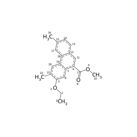 CCOc1cc2c(C(=O)OC)cc3ccc(C)cc3c2cc1C